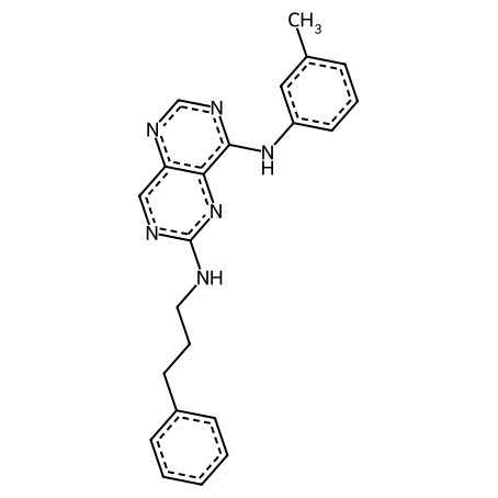 Cc1cccc(Nc2ncnc3cnc(NCCCc4ccccc4)nc23)c1